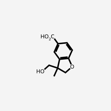 CC1(CO)COc2ccc(C(=O)O)cc21